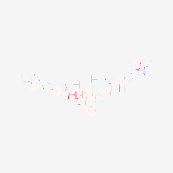 CC(C)(COc1ccc(C(=O)c2ccc(OCC(C)(C)COc3ccc(-c4nc5ccccc5o4)cc3)cc2O)cc1)COc1ccc(-c2nc3ccccc3o2)cc1